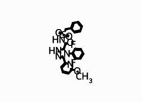 COc1cccc(C2=NNC(C(=O)NS(=O)(=O)Cc3ccccc3)N2c2c(F)cccc2F)n1